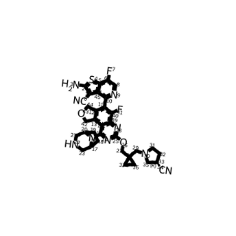 N#Cc1c(N)sc2c(F)cnc(-c3c4c(c5c(N6C7CCC6CNC7)nc(OCC6(CN7CC[C@@H](C#N)C7)CC6)nc5c3F)COC4)c12